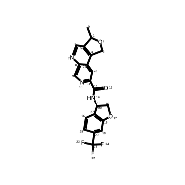 CC1OCc2c1cnc1cnc(C(=O)N[C@H]3COc4cc(C(F)(F)F)ccc43)cc21